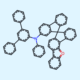 c1ccc(-c2cc(-c3ccccc3)cc(N(c3ccccc3)c3ccc4c(c3)C3(c5ccccc5-4)c4ccccc4-c4c3ccc3c4oc4ccccc43)c2)cc1